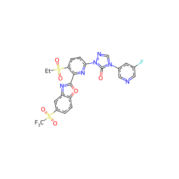 CCS(=O)(=O)c1ccc(-n2ncn(-c3cncc(F)c3)c2=O)nc1-c1nc2cc(S(=O)(=O)C(F)(F)F)ccc2o1